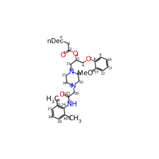 CCCCCCCCCCCC(=O)OC(COc1ccccc1OC)CN1CCN(CC(=O)Nc2c(C)cccc2C)CC1